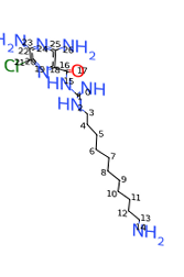 N=C(NCCCCCCCCCCCN)NC(=O)c1nc(Cl)c(N)nc1N